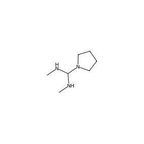 CNC(NC)N1CCCC1